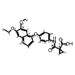 CCOc1cc2nccc(Oc3ccc(NC(=O)C4(C(=O)O)CC4)cc3)c2cc1OC